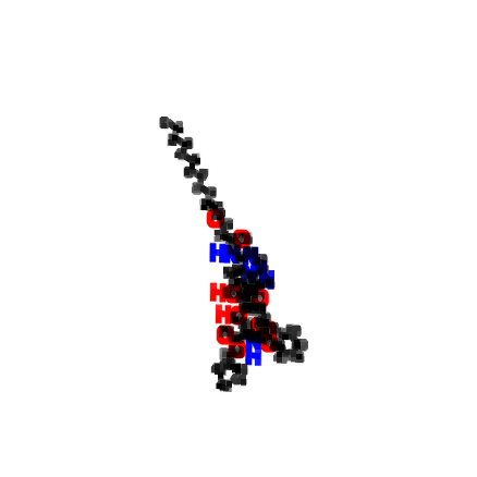 CCCCCCCCCCCCOCCC(=O)Nc1ncnn2c([C@]3(C#N)O[C@H](COP(=O)(N[C@H](C)C(=O)OCC(CC)CC)Oc4ccccc4)[C@@H](O)[C@H]3O)ccc12